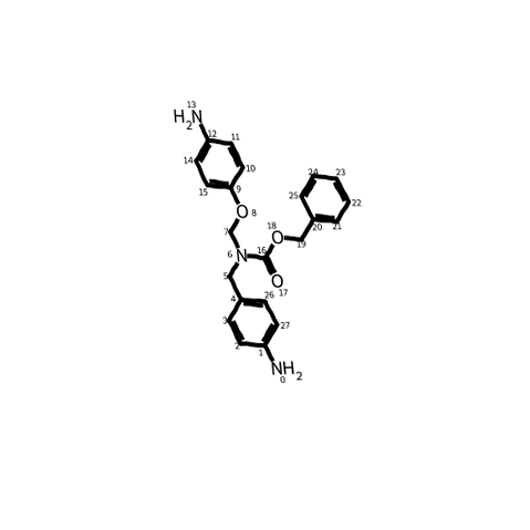 Nc1ccc(CN(COc2ccc(N)cc2)C(=O)OCc2ccccc2)cc1